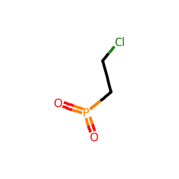 O=P(=O)CCCl